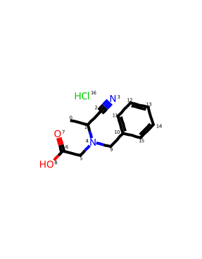 CC(C#N)N(CC(=O)O)Cc1ccccc1.Cl